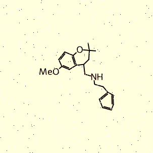 COc1ccc2c(c1)C(CNCCc1ccccc1)CC(C)(C)O2